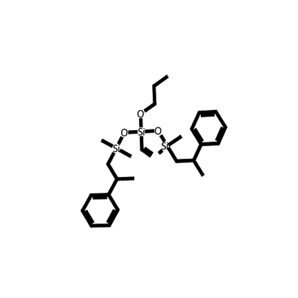 C=C[Si](OCCC)(O[Si](C)(C)CC(C)c1ccccc1)O[Si](C)(C)CC(C)c1ccccc1